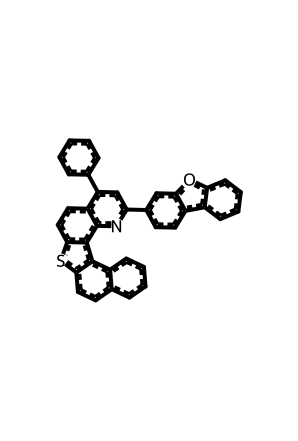 c1ccc(-c2cc(-c3ccc4c(c3)oc3ccccc34)nc3c2ccc2sc4ccc5ccccc5c4c23)cc1